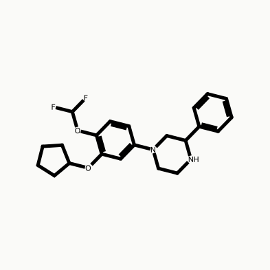 FC(F)Oc1ccc(N2CCNC(c3ccccc3)C2)cc1OC1CCCC1